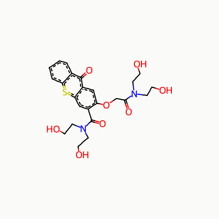 O=C(COc1cc2c(=O)c3ccccc3sc2cc1C(=O)N(CCO)CCO)N(CCO)CCO